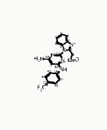 COCc1nc2ccccc2n1-c1nc(N)cc(Nc2ccc(C(F)(F)F)cc2)n1